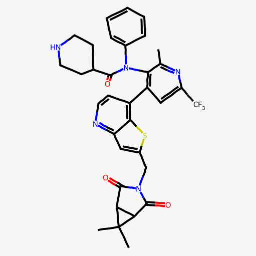 Cc1nc(C(F)(F)F)cc(-c2ccnc3cc(CN4C(=O)C5C(C4=O)C5(C)C)sc23)c1N(C(=O)C1CCNCC1)c1ccccc1